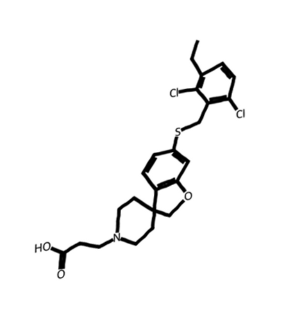 CCc1ccc(Cl)c(CSc2ccc3c(c2)OCC32CCN(CCC(=O)O)CC2)c1Cl